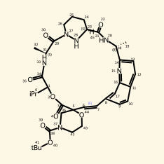 CC(C)C1OC(=O)C2(/C=C/c3ccc4ccc(nc4c3)[C@@H](C)NC(=O)[C@@H]3CCCN(N3)C(=O)[C@H](C)NC1=O)CN(C(=O)OC(C)(C)C)CCO2